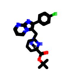 CC(C)(C)OC(=O)C12CCC(CN1)N(Cc1c(-c3ccc(Cl)cc3)nc3ncccn13)C2